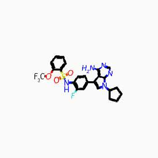 Nc1ncnc2c1c(-c1ccc(NS(=O)(=O)c3ccccc3OC(F)(F)F)c(F)c1)cn2C1CCCC1